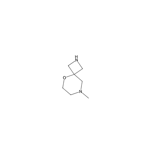 CN1CCOC2(CNC2)C1